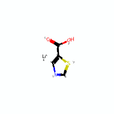 O=C(O)C1=C[N-]CS1.[Li+]